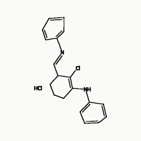 Cl.ClC1=C(Nc2ccccc2)CCCC1/C=N/c1ccccc1